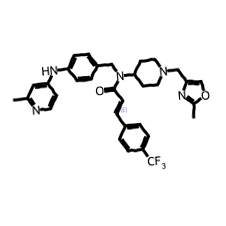 Cc1cc(Nc2ccc(CN(C(=O)/C=C/c3ccc(C(F)(F)F)cc3)C3CCN(Cc4coc(C)n4)CC3)cc2)ccn1